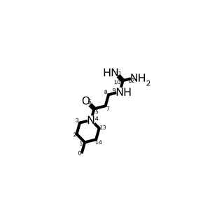 CC1CCN(C(=O)CCNC(=N)N)CC1